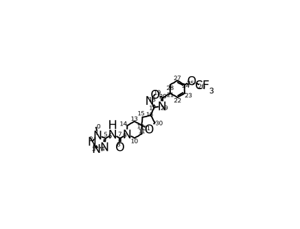 Cn1nnnc1NC(=O)N1CCC2(CC1)CC(c1noc(C3C=CC(OC(F)(F)F)=CC3)n1)CO2